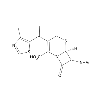 C=C(C1=C(C(=O)O)N2C(=O)C(NC(C)=O)[C@@H]2SC1)c1scnc1C